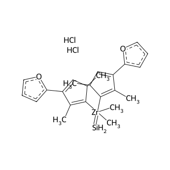 CC1=[C]([Zr]([CH3])([CH3])(=[SiH2])[C]2=C(C)C(c3ccco3)=CC2C)C(C)C=C1c1ccco1.Cl.Cl